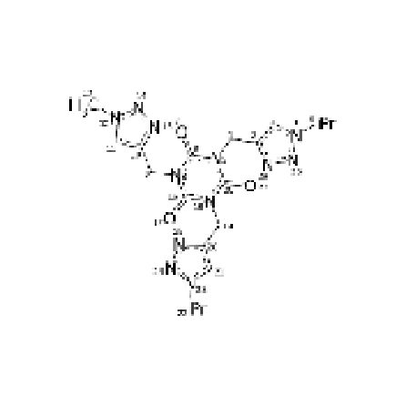 CC(C)n1cc(Cn2c(=O)n(Cc3cn(C)nn3)c(=O)n(Cc3cn(C(C)C)nn3)c2=O)nn1